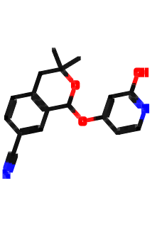 CC1(C)Cc2ccc(C#N)cc2C(Oc2ccnc(O)c2)O1